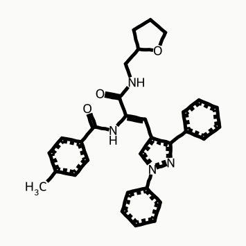 Cc1ccc(C(=O)N/C(=C\c2cn(-c3ccccc3)nc2-c2ccccc2)C(=O)NCC2CCCO2)cc1